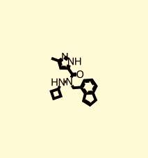 Cc1cc(C(=O)N(Cc2cccc3c2C=CC3)NC2CCC2)[nH]n1